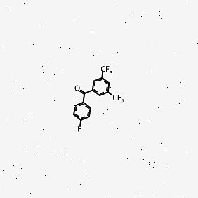 O=C(c1ccc(F)cc1)c1cc(C(F)(F)F)cc(C(F)(F)F)c1